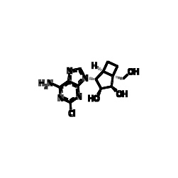 Nc1nc(Cl)nc2c1ncn2[C@H]1[C@H](O)[C@H](O)[C@]2(CO)CC[C@H]12